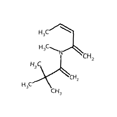 C=C(/C=C\C)N(C)C(=C)C(C)(C)C